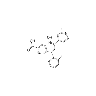 Cc1cc(C(C[C@H](c2ccc(C(=O)O)cc2)c2ccccc2C)=NO)ccn1